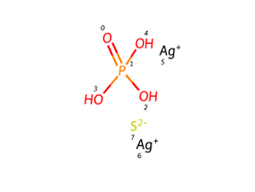 O=P(O)(O)O.[Ag+].[Ag+].[S-2]